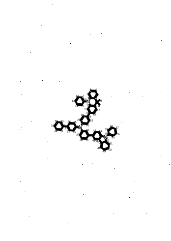 CC1(C)c2ccccc2N(c2ccccc2)c2cc(-c3ccc(N(c4ccc(-c5ccccc5)cc4)c4cccc(-c5ccc6c(c5)c5ccccc5n6-c5ccccc5)c4)cc3)ccc21